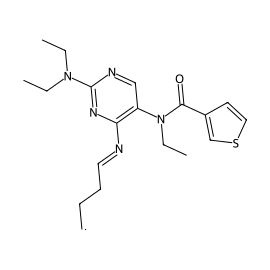 [CH2]CCC=Nc1nc(N(CC)CC)ncc1N(CC)C(=O)c1ccsc1